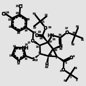 CC(C)(C)OC(=O)[C@H]1[C@@H]2[C@H](Sc3ncc[nH]3)[C@@H](OCc3ccc(Cl)c(Cl)c3)[C@]3(C(=O)OC(C)(C)C)NC(OC(C)(C)C)=N[C@]213